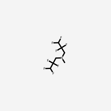 CN(CC(F)(F)C(F)F)CC(F)(F)C(F)F